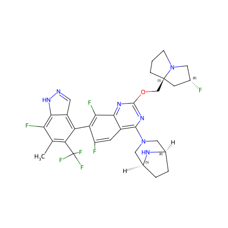 Cc1c(C(F)(F)F)c(-c2c(F)cc3c(N4C[C@H]5CC[C@@H](C4)N5)nc(OC[C@@]45CCCN4C[C@H](F)C5)nc3c2F)c2cn[nH]c2c1F